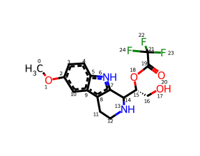 COc1ccc2[nH]c3c(c2c1)CCNC3[C@@H](CO)OC(=O)C(F)(F)F